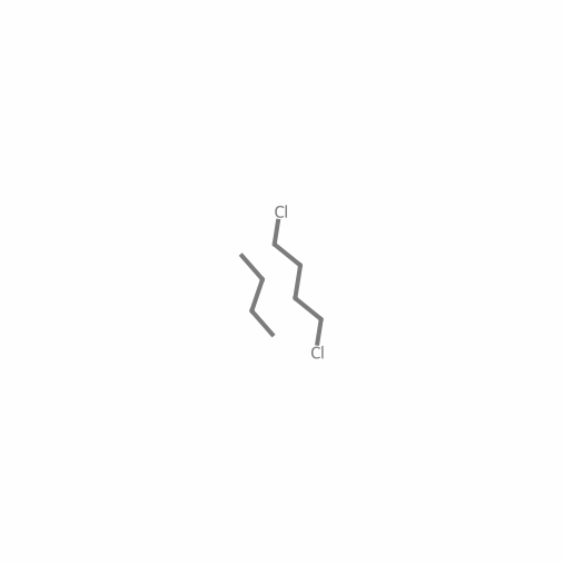 CCCC.ClCCCCCl